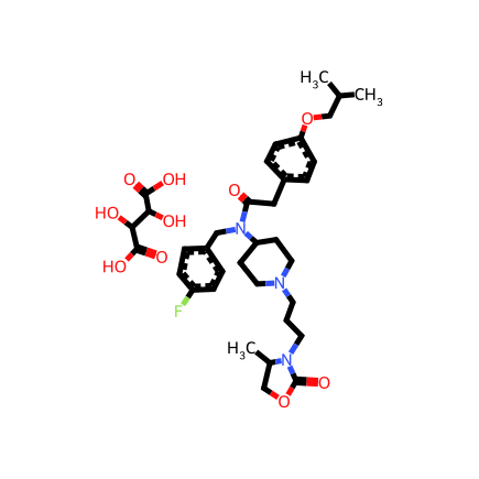 CC(C)COc1ccc(CC(=O)N(Cc2ccc(F)cc2)C2CCN(CCCN3C(=O)OCC3C)CC2)cc1.O=C(O)C(O)C(O)C(=O)O